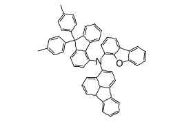 Cc1ccc(C2(c3ccc(C)cc3)c3ccccc3-c3c(N(C4=CC=C5c6ccccc6C6C=CC=C4C56)c4cccc5c4oc4ccccc45)cccc32)cc1